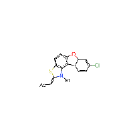 CCN1/C(=C/C(C)=O)Sc2ccc3c(c21)C1C=CC(Cl)=CC1O3